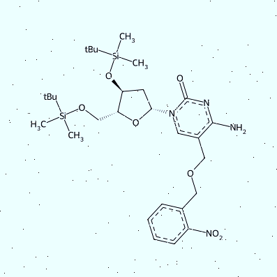 CC(C)(C)[Si](C)(C)OC[C@H]1O[C@@H](n2cc(COCc3ccccc3[N+](=O)[O-])c(N)nc2=O)C[C@@H]1O[Si](C)(C)C(C)(C)C